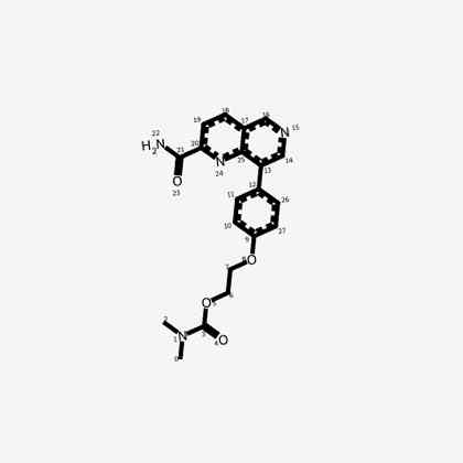 CN(C)C(=O)OCCOc1ccc(-c2cncc3ccc(C(N)=O)nc23)cc1